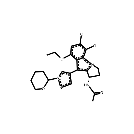 CCOc1cc(Cl)c(Cl)c2c1c(-c1cnn(C3CCCCO3)c1)c1n2CC[C@@H]1NC(C)=O